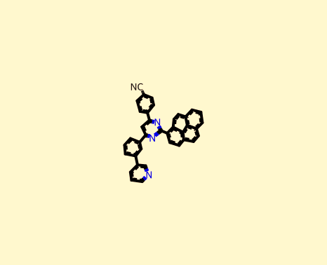 N#Cc1ccc(-c2cc(-c3cccc(-c4cccnc4)c3)nc(-c3ccc4ccc5cccc6ccc3c4c56)n2)cc1